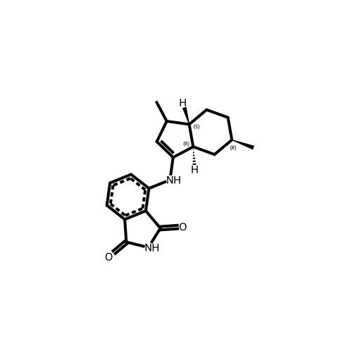 CC1C=C(Nc2cccc3c2C(=O)NC3=O)[C@@H]2C[C@H](C)CC[C@@H]12